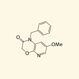 COc1cnc2c(c1)N(Cc1ccccc1)C(=O)CO2